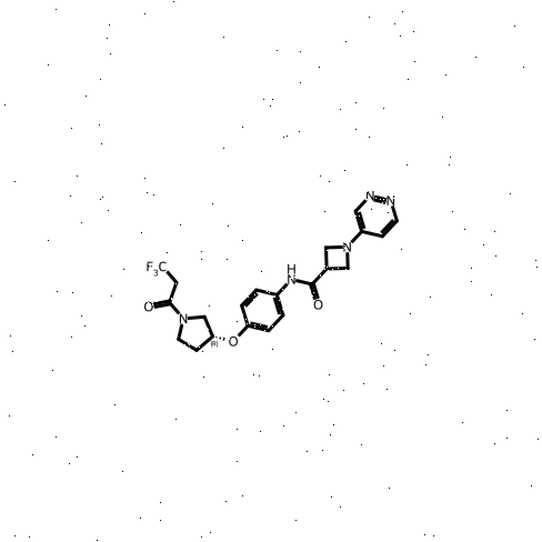 O=C(Nc1ccc(O[C@@H]2CCN(C(=O)CC(F)(F)F)C2)cc1)C1CN(c2ccnnc2)C1